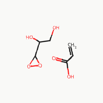 C=CC(=O)O.OCC(O)C1OO1